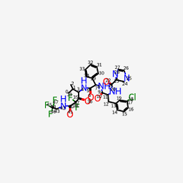 CC(C)C(NC(=O)C(NC(=O)C(Cc1cccc(Cl)c1)NC(=O)c1cnccn1)c1ccccc1)C(=O)C(F)(F)C(=O)NCC(F)(F)F